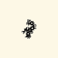 Cc1cc(C(C)C)nn1-c1nc2c(c(=O)n1-c1ccn3c(C)nnc3c1)CC(C)N(C(=O)c1ccc(Br)c(C(F)(F)F)c1)C2